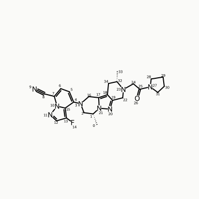 C[C@@H]1CN(c2ccc(C#N)n3ncc(F)c23)Cc2c3c(nn21)CN(CC(=O)N1CCCC1)[C@@H](C)C3